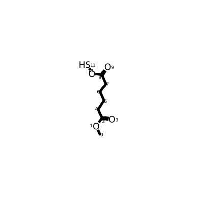 COC(=O)CCCCC(=O)OS